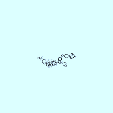 CC1CC2CC(C1)C(NC(=O)c1cnc(-c3cn(C4CCOC4)c4cc(OC5CCN(c6ncc(F)cn6)CC5)ccc34)nc1C(F)(F)F)(C(=O)O)C2